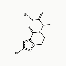 CC(C(=O)OC(C)(C)C)N1CCc2sc(Br)cc2C1=O